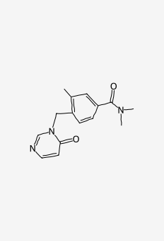 Cc1cc(C(=O)N(C)C)ccc1Cn1cnccc1=O